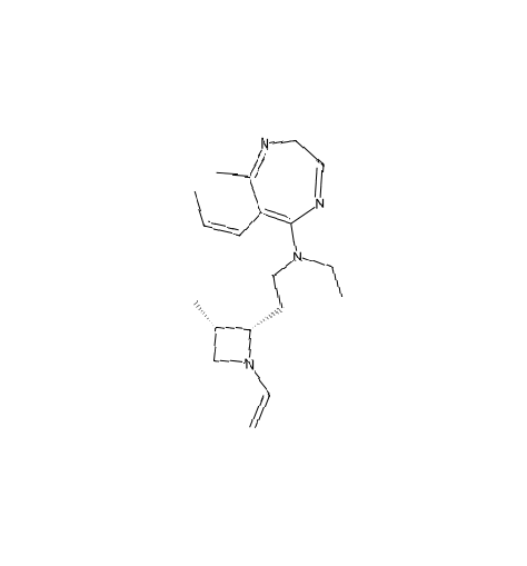 C=CN1C[C@H](C)[C@@H]1CCN(CC)C1=C(/C=C\C)C(C)=NCC=N1